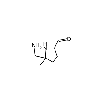 CC1(CN)CCC(C=O)N1